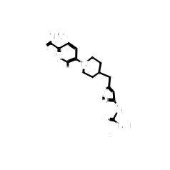 CCNC(=O)Nc1cc(CC2CCN(c3ccc(C(=O)NC)nc3F)CC2)on1